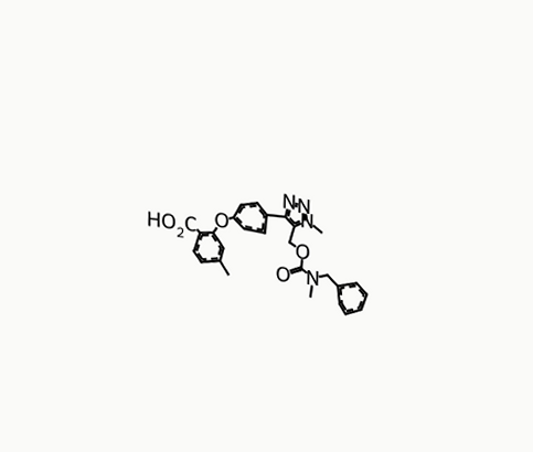 Cc1ccc(C(=O)O)c(Oc2ccc(-c3nnn(C)c3COC(=O)N(C)Cc3ccccc3)cc2)c1